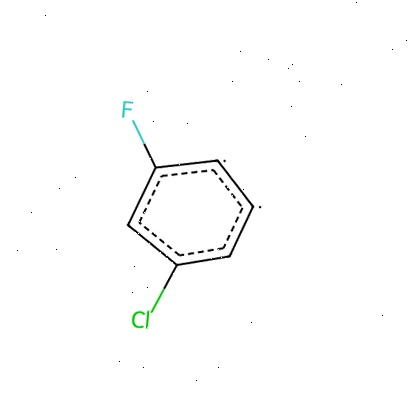 Fc1[c][c]cc(Cl)c1